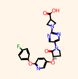 O=C(O)C1CN(c2ncc(N3CC[C@@H](Oc4ccc(Oc5ccc(F)cc5)nc4)C3=O)cn2)C1